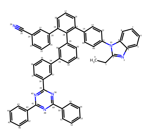 CCc1nc2ccccc2n1-c1ccc(-c2cccc(-c3cccc(C#N)c3)c2-c2cccc(-c3cccc(-c4nc(-c5ccccc5)nc(-c5ccccc5)n4)c3)c2)cc1